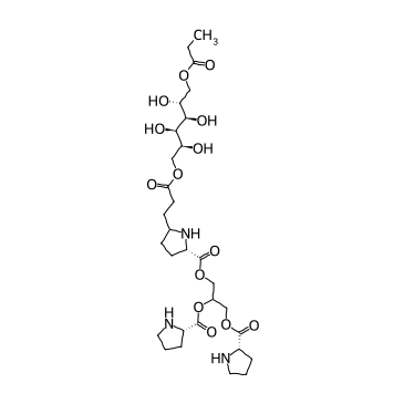 CCC(=O)OC[C@@H](O)[C@@H](O)[C@H](O)[C@@H](O)COC(=O)CCC1CC[C@@H](C(=O)OCC(COC(=O)[C@@H]2CCCN2)OC(=O)[C@@H]2CCCN2)N1